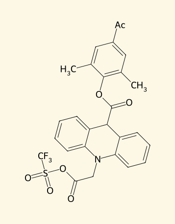 CC(=O)c1cc(C)c(OC(=O)C2c3ccccc3N(CC(=O)OS(=O)(=O)C(F)(F)F)c3ccccc32)c(C)c1